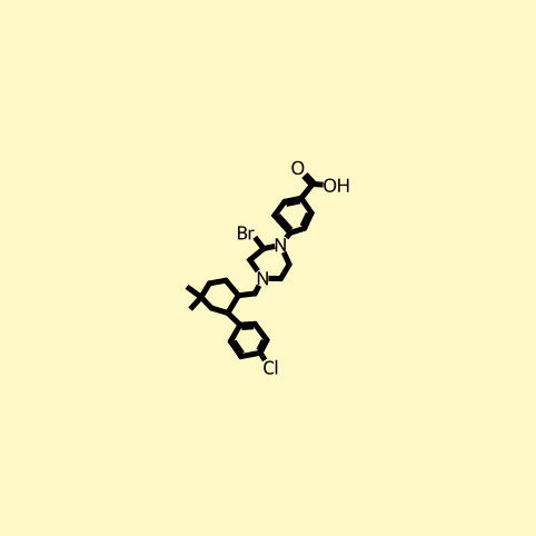 CC1(C)CCC(CN2CCN(c3ccc(C(=O)O)cc3)C(Br)C2)C(c2ccc(Cl)cc2)C1